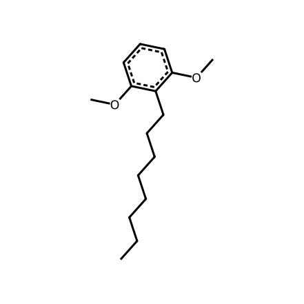 CCCCCCCCc1c(OC)cccc1OC